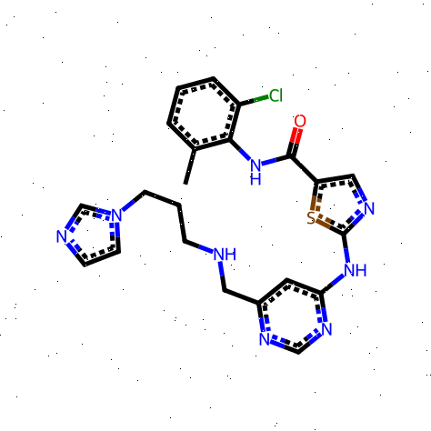 Cc1cccc(Cl)c1NC(=O)c1cnc(Nc2cc(CNCCCn3ccnc3)ncn2)s1